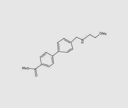 COCCNCc1ccc(-c2ccc(C(=O)OC)cc2)cc1